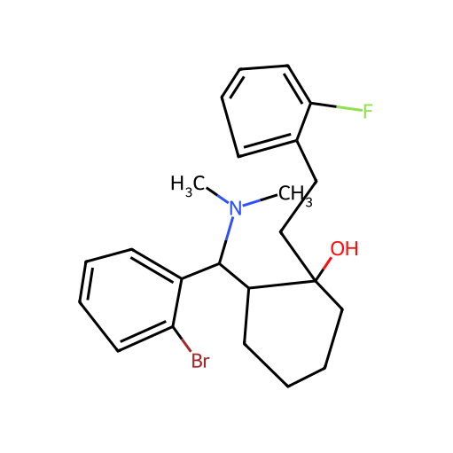 CN(C)C(c1ccccc1Br)C1CCCCC1(O)CCc1ccccc1F